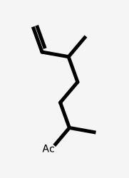 C=CC(C)CCC(C)C(C)=O